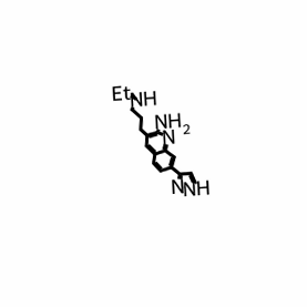 CCNCCCc1cc2ccc(-c3cc[nH]n3)cc2nc1N